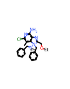 CCOCC1=Nc2c(N)nc(Cl)c(C)c2[N+]1(Cc1ccccc1)N(Cc1ccccc1)C(C)C